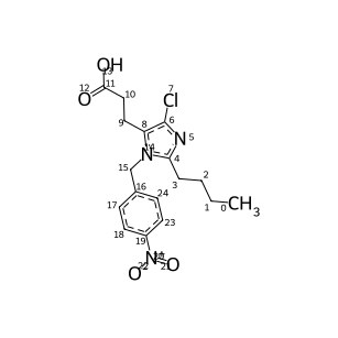 CCCCc1nc(Cl)c(CCC(=O)O)n1Cc1ccc([N+](=O)[O-])cc1